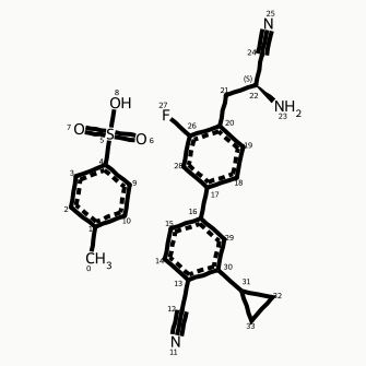 Cc1ccc(S(=O)(=O)O)cc1.N#Cc1ccc(-c2ccc(C[C@H](N)C#N)c(F)c2)cc1C1CC1